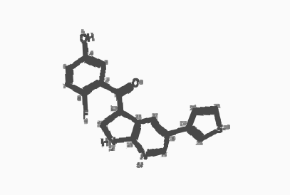 O=C(c1cc(O)ccc1F)C1CNc2ncc(-c3ccsc3)cc21